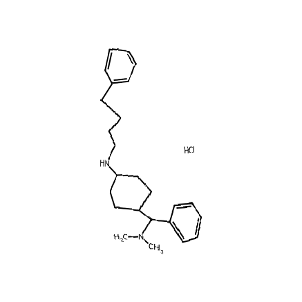 CN(C)C(c1ccccc1)C1CCC(NCCCCc2ccccc2)CC1.Cl